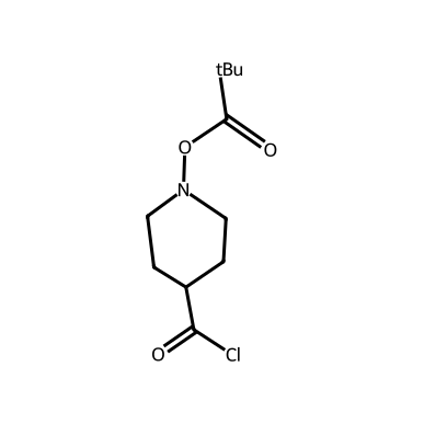 CC(C)(C)C(=O)ON1CCC(C(=O)Cl)CC1